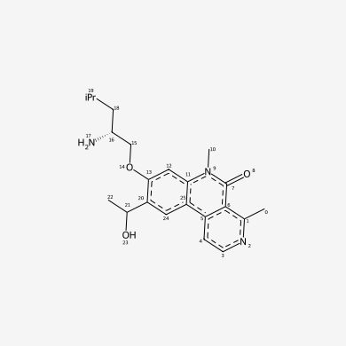 Cc1nccc2c1c(=O)n(C)c1cc(OC[C@H](N)CC(C)C)c(C(C)O)cc21